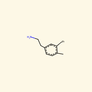 Cc1ccc(CCN)cc1C(C)C